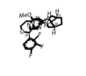 COc1cc(N2C[C@H]3CC[C@@H](C2)[C@@H]3Nc2nc3n(n2)CCO[C@@H]3c2ccc(F)c(F)c2F)ccn1